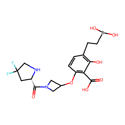 O=C(O)c1c(OC2CN(C(=O)[C@@H]3CC(F)(F)CN3)C2)ccc(CCB(O)O)c1O